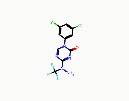 NN(c1ncn(-c2cc(Cl)cc(Cl)c2)c(=O)n1)C(F)(F)F